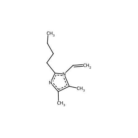 C=Cn1c(CCCC)nc(C)c1C